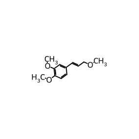 COCC=Cc1ccc(OC)c(OC)c1